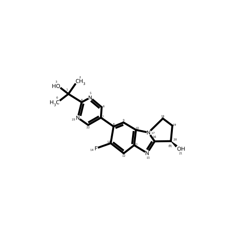 CC(C)(O)c1ncc(-c2cc3c(cc2F)nc2n3CC[C@H]2O)cn1